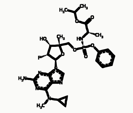 CC(C)OC(=O)[C@H](C)N[P@](=O)(OC[C@@]1(C)O[C@@H](n2cnc3c(N(C)C4CC4)nc(N)nc32)[C@H](F)[C@@H]1O)Oc1ccccc1